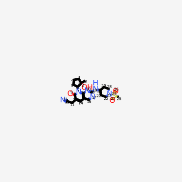 CC1(O)CCCC1n1c(=O)c(CC#N)cc2cnc(NC3CCN(S(C)(=O)=O)CC3)nc21